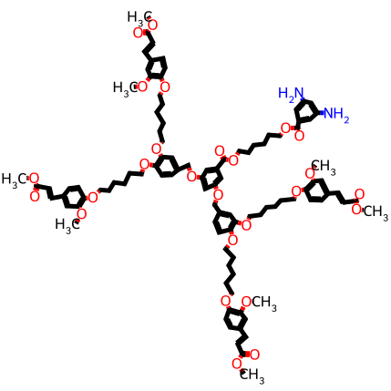 COC(=O)C=Cc1ccc(OCCCCCCOc2ccc(COc3cc(OCc4ccc(OCCCCCCOc5ccc(C=CC(=O)OC)cc5OC)c(OCCCCCCOc5ccc(C=CC(=O)OC)cc5OC)c4)cc(C(=O)OCCCCCCOC(=O)c4cc(N)cc(N)c4)c3)cc2OCCCCCCOc2ccc(C=CC(=O)OC)cc2OC)c(OC)c1